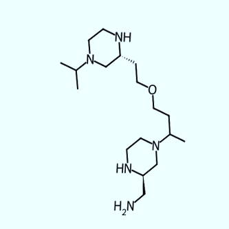 CC(C)N1CCN[C@H](CCOCCC(C)N2CCN[C@H](CN)C2)C1